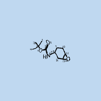 CC(C)(C)OC(=O)NC1CCC2OC2C1